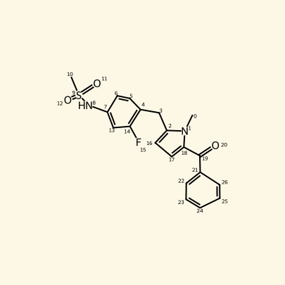 Cn1c(Cc2ccc(NS(C)(=O)=O)cc2F)ccc1C(=O)c1ccccc1